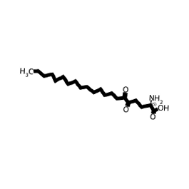 CCCCCCCCCCCCCCCC(=O)C(=O)CC[C@H](N)C(=O)O